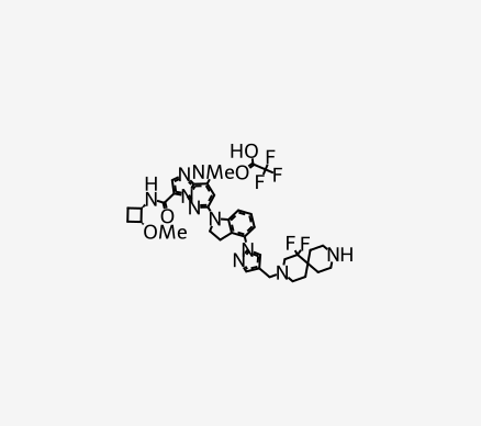 CNc1cc(N2CCc3c2cccc3-n2cc(CN3CCC4(CCNCC4)C(F)(F)C3)cn2)nn2c(C(=O)N[C@@H]3CC[C@H]3OC)cnc12.O=C(O)C(F)(F)F